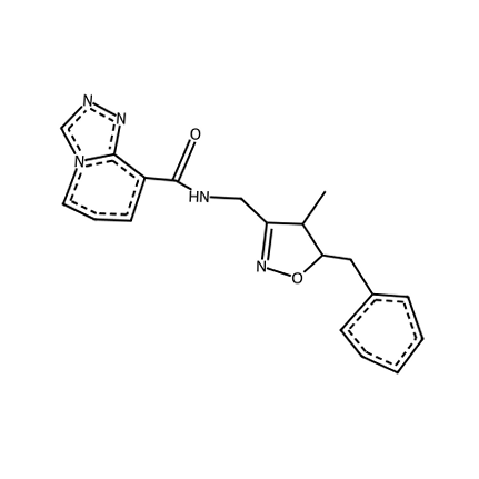 CC1C(CNC(=O)c2cccn3cnnc23)=NOC1Cc1ccccc1